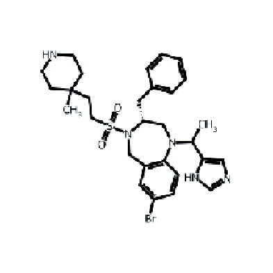 CC(c1cnc[nH]1)N1C[C@@H](Cc2ccccc2)N(S(=O)(=O)CCC2(C)CCNCC2)Cc2cc(Br)ccc21